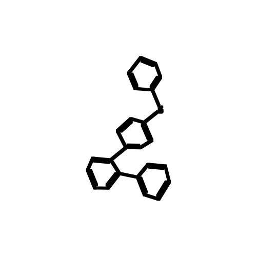 c1ccc(Sc2ccc(-c3ccccc3-c3ccccc3)cc2)cc1